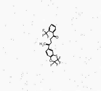 C=C(CCC(=O)c1ccccc1C(F)(F)F)c1ccc2c(c1)SC(F)(F)C(F)(F)O2